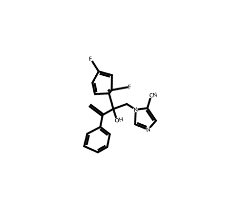 C=C(c1ccccc1)C(O)(Cn1cncc1C#N)c1ccc(F)cc1F